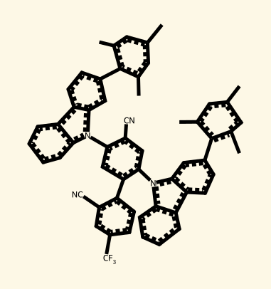 Cc1cc(C)c(-c2ccc3c4ccccc4n(-c4cc(-c5ccc(C(F)(F)F)cc5C#N)c(-n5c6ccccc6c6ccc(-c7c(C)cc(C)cc7C)cc65)cc4C#N)c3c2)c(C)c1